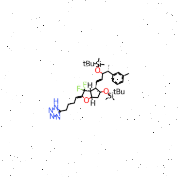 Cc1cccc([C@@H](C)[C@@H](/C=C/[C@H]2C(O[Si](C)(C)C(C)(C)C)C[C@@H]3O/C(=C\CCCc4nnn[nH]4)C(F)(F)[C@@H]32)O[Si](C)(C)C(C)(C)C)c1